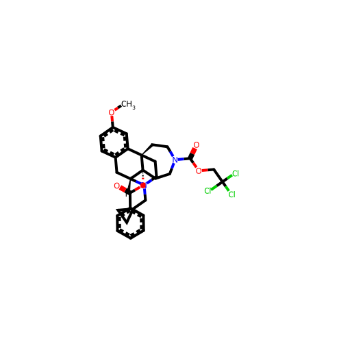 COc1ccc2c(c1)[C@@]13CCN(C(=O)OCC(Cl)(Cl)Cl)CC[C@@]1(OC(=O)c1ccccc1)[C@@H](C2)N(CC1CC1)CC3